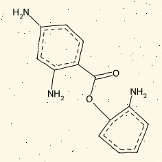 Nc1ccc(C(=O)Oc2ccccc2N)c(N)c1